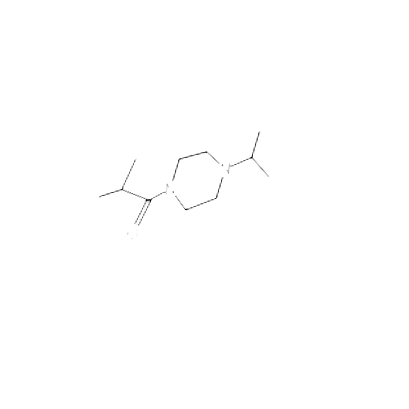 CC(C)C(=O)N1CCN(C(C)C)C[C@@H]1C